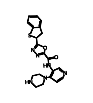 O=C(Nc1cnccc1N1CCNCC1)c1nnc(C2Cc3ccccc3S2)o1